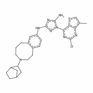 Cc1csc2c(-n3nc(Nc4ccc5c(c4)CCCN(C4CC6CCC4C6)CC5)nc3N)nc(Cl)nc12